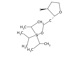 CC(C)[Si](OCC[C@H]1OCC[C@@H]1I)(C(C)C)C(C)C